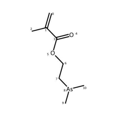 C=C(C)C(=O)OCC[As](C)C